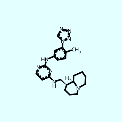 Cc1ccc(Nc2nccc(NC[C@@H]3CCCN4CCCC[C@H]34)n2)cc1-n1cnnn1